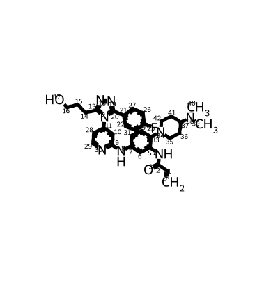 C=CC(=O)Nc1cc(Nc2cc(-n3c(CCCO)nnc3-c3ccc(F)cc3)ccn2)ccc1N1CCC(N(C)C)CC1